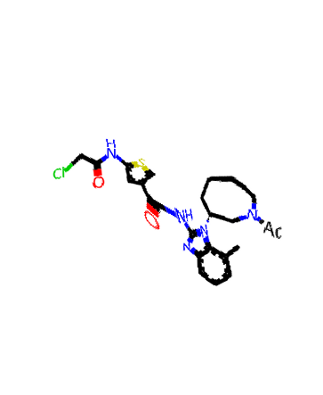 CC(=O)N1CCCC[C@@H](n2c(NC(=O)c3csc(NC(=O)CCl)c3)nc3cccc(C)c32)C1